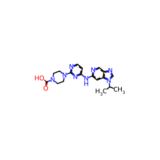 CC(C)n1cnc2cnc(Nc3ccnc(N4CCN(C(=O)O)CC4)n3)cc21